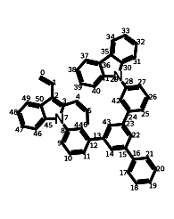 C=Cc1c(/C=C\C)n(-c2cccc(-c3cc(-c4ccccc4)cc(-c4cccc(-n5c6ccccc6c6ccccc65)c4)c3)c2)c2ccccc12